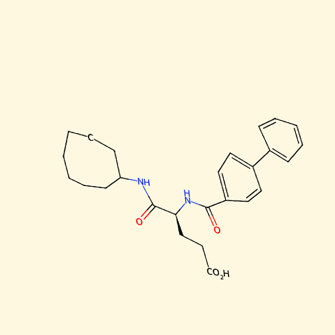 O=C(O)CC[C@H](NC(=O)c1ccc(-c2ccccc2)cc1)C(=O)NC1CCCCCCC1